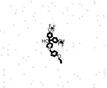 C=CCOc1ccc(CN2CCC(C(O)(c3ccc(OC(F)(F)F)cc3)c3ccc(OC(F)(F)F)cc3)CC2)cc1